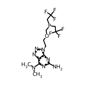 CN(C)c1nc(N)nc2c1nnn2CCOCP(CC(F)(F)F)CC(F)(F)F